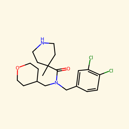 CC1(C(=O)N(Cc2ccc(Cl)c(Cl)c2)CC2CCOCC2)CCNCC1